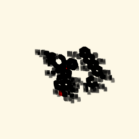 CC[C@]1(O)C[C@@H]2C[N@@](CCc3c([nH]c4ccccc34)[C@@](C(=O)OC)(c3cc4c(cc3OC)N(C)[C@H]3[C@@](O)(C(=O)OC)[C@H](OC(C)=O)[C@]5(CC)C=CCN6CC[C@]43[C@@H]65)C2)C1.COc1cccc2c1C(=O)c1c(O)c3c(c(O)c1C2=O)C[C@@](O)(C(C)=O)C[C@@H]3O[C@H]1C[C@H](N)[C@H](O)[C@H](C)O1